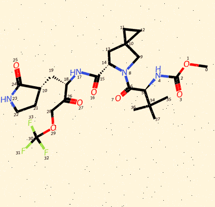 COC(=O)N[C@H](C(=O)N1CC2(CC2)C[C@H]1C(=O)N[C@@H](C[C@@H]1CCNC1=O)C(=O)COC(F)(F)F)C(C)(C)C